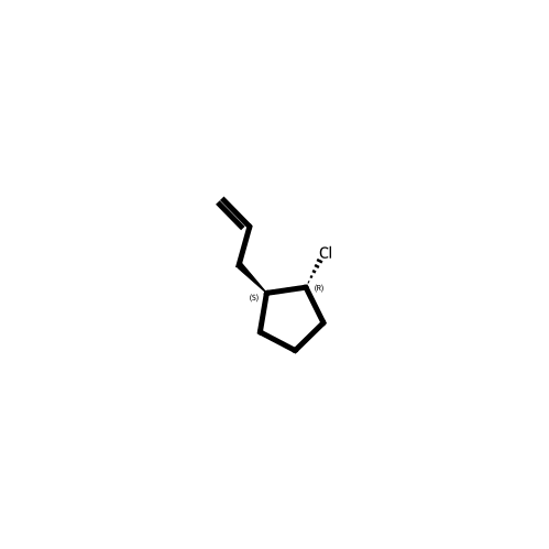 C=CC[C@@H]1CCC[C@H]1Cl